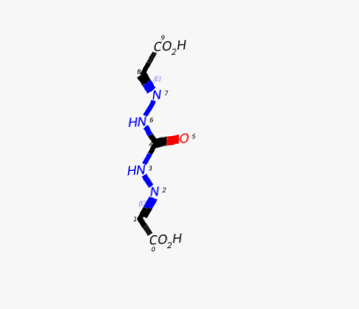 O=C(O)/C=N/NC(=O)N/N=C/C(=O)O